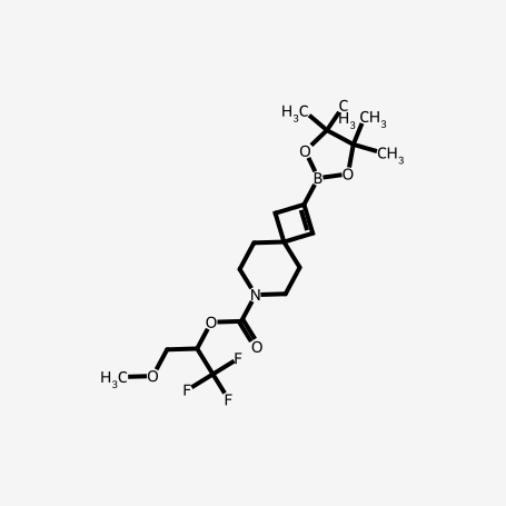 COCC(OC(=O)N1CCC2(C=C(B3OC(C)(C)C(C)(C)O3)C2)CC1)C(F)(F)F